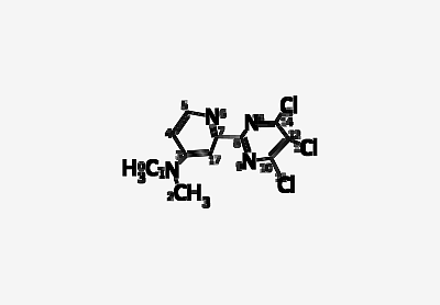 CN(C)c1ccnc(-c2nc(Cl)c(Cl)c(Cl)n2)c1